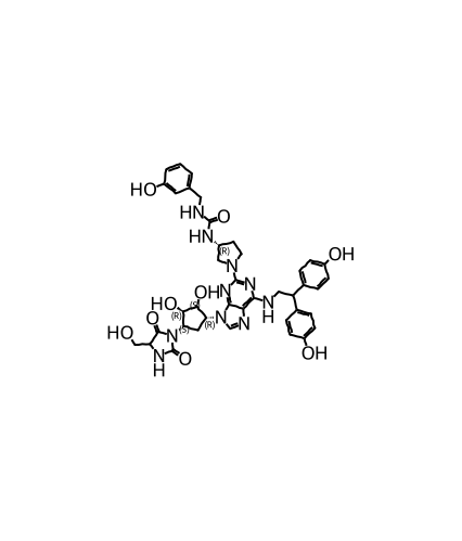 O=C(NCc1cccc(O)c1)N[C@@H]1CCN(c2nc(NCC(c3ccc(O)cc3)c3ccc(O)cc3)c3ncn([C@@H]4C[C@H](N5C(=O)NC(CO)C5=O)[C@@H](O)[C@H]4O)c3n2)C1